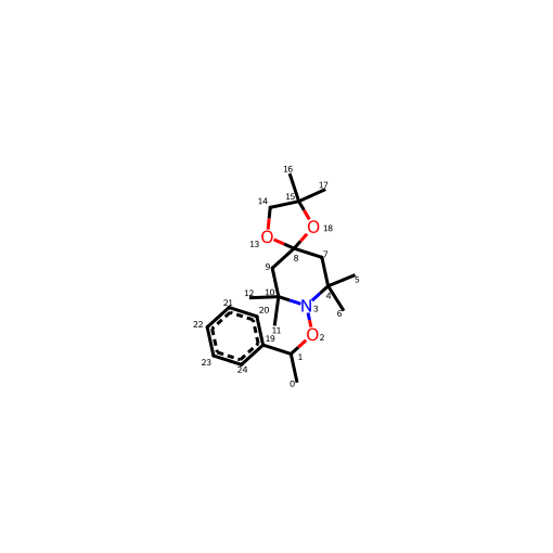 CC(ON1C(C)(C)CC2(CC1(C)C)OCC(C)(C)O2)c1ccccc1